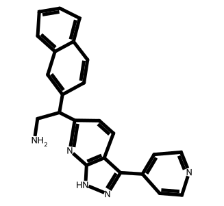 NCC(c1ccc2ccccc2c1)c1ccc2c(-c3ccncc3)n[nH]c2n1